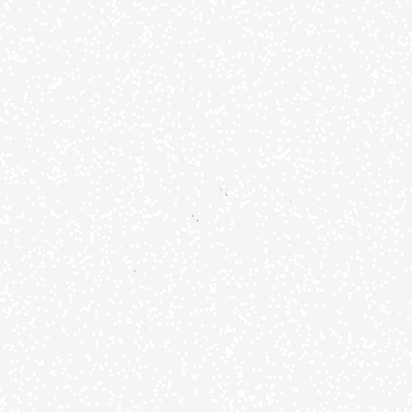 C=C1C[C@@H](CO[Si](C)(C)C(C)(C)C)N(C(=O)c2cc(OC)c(OC)cc2NC(=O)OC[C@@H](C)SSC(C)C)C1